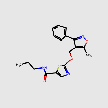 CCCNC(=O)c1cnc(OCc2c(-c3ccccc3)noc2C)s1